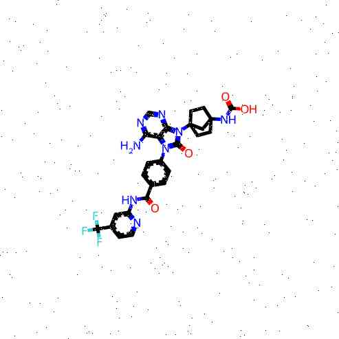 Nc1ncnc2c1n(-c1ccc(C(=O)Nc3cc(C(F)(F)F)ccn3)cc1)c(=O)n2C12CCC(NC(=O)O)(CC1)C2